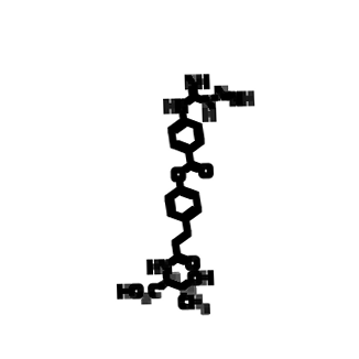 C[C@@H](O)[C@H](NC(=O)CCc1ccc(OC(=O)c2ccc(NC(=N)NN=N)cc2)cc1)C(=O)O